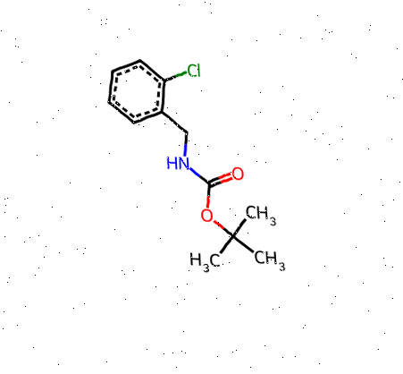 CC(C)(C)OC(=O)NCc1ccccc1Cl